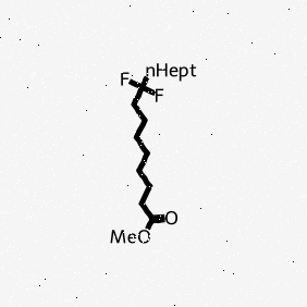 CCCCCCCC(F)(F)CCCCCCCC(=O)OC